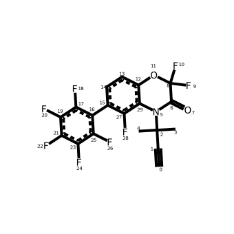 C#CC(C)(C)N1C(=O)C(F)(F)Oc2ccc(-c3c(F)c(F)c(F)c(F)c3F)c(F)c21